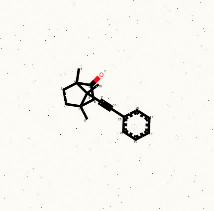 CC12CCC(C)(C(=O)C1)C2(C)C#Cc1ccccc1